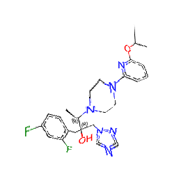 CC(C)Oc1cccc(N2CCN([C@H](C)[C@](O)(Cn3cncn3)c3ccc(F)cc3F)CC2)n1